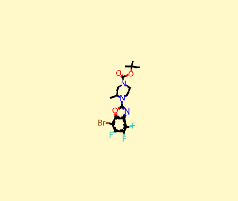 CC1CN(C(=O)OC(C)(C)C)CCN1c1nc2c(F)c(F)c(F)c(Br)c2o1